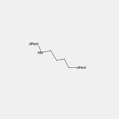 CCCCCCCCCNCCCCC